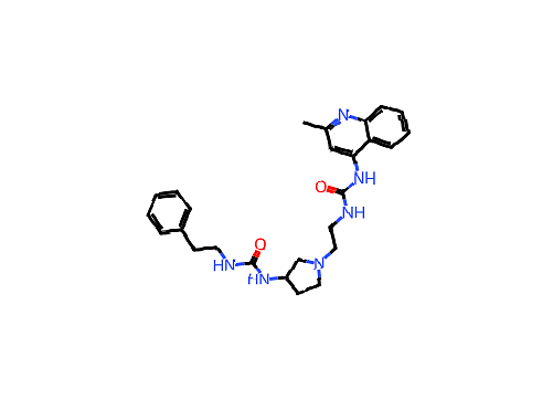 Cc1cc(NC(=O)NCCN2CCC(NC(=O)NCCc3ccccc3)C2)c2ccccc2n1